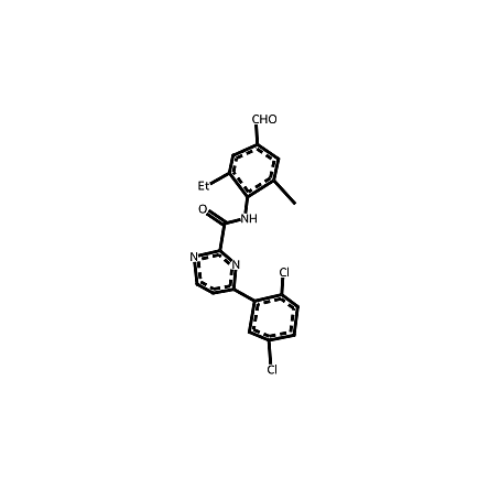 CCc1cc(C=O)cc(C)c1NC(=O)c1nccc(-c2cc(Cl)ccc2Cl)n1